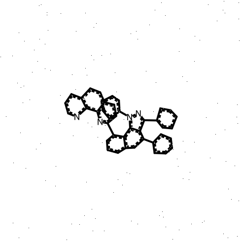 c1ccc(-c2cc3cccc(-c4ccc5ccc6cccnc6c5n4)c3c3c2c(-c2ccccc2)nn3-c2ccccc2)cc1